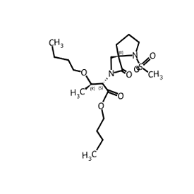 CCCCOC(=O)[C@H]([C@@H](C)OCCCC)N1C[C@]2(CCCN2S(C)(=O)=O)C1=O